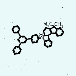 CC1(C)C2=C(c3ccccc31)C1c3ccccc3N(c3ccc(-c4cc(-c5ccccc5)cc(-c5ccccc5)c4)cc3)[C@@H]1C=C2